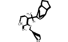 C=C/C(OCC1CO1)=C(\C=C/C)C(C)(CC)C1CC2CC1C1CCCC21